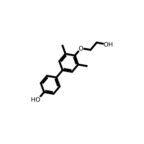 Cc1cc(-c2ccc(O)cc2)cc(C)c1OCCO